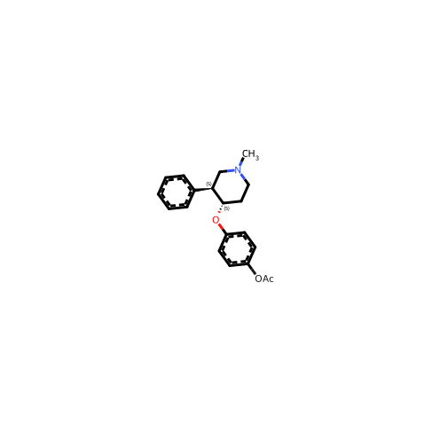 CC(=O)Oc1ccc(O[C@H]2CCN(C)C[C@@H]2c2ccccc2)cc1